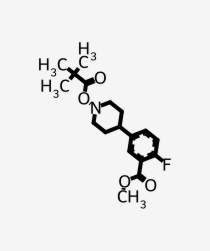 COC(=O)c1cc(C2CCN(OC(=O)C(C)(C)C)CC2)ccc1F